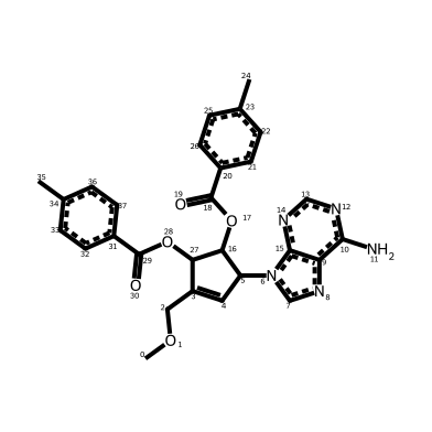 COCC1=CC(n2cnc3c(N)ncnc32)C(OC(=O)c2ccc(C)cc2)C1OC(=O)c1ccc(C)cc1